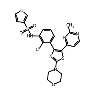 Cc1nccc(-c2sc(N3CCOCC3)nc2-c2cccc(NS(=O)(=O)c3ccoc3)c2Cl)n1